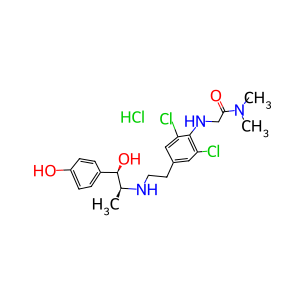 C[C@H](NCCc1cc(Cl)c(NCC(=O)N(C)C)c(Cl)c1)[C@H](O)c1ccc(O)cc1.Cl